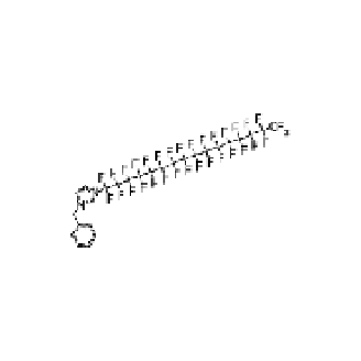 FC(F)(F)C(F)(F)C(F)(F)C(F)(F)C(F)(F)C(F)(F)C(F)(F)C(F)(F)C(F)(F)C(F)(F)C(F)(F)C(F)(F)C(F)(F)C(F)(F)C(F)(F)C(F)(F)n1cc[n+](Cc2ccccc2)c1